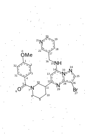 COc1ccc(C(=O)N2CCCC(c3cc(NCc4cccnc4)n4ncc(Br)c4n3)C2)cc1